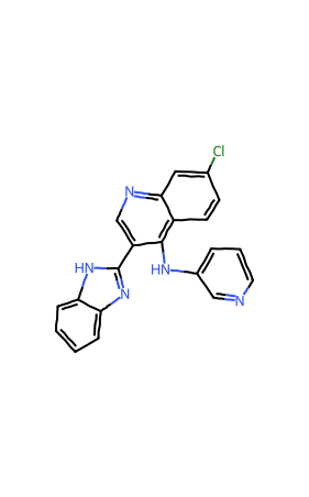 Clc1ccc2c(Nc3cccnc3)c(-c3nc4ccccc4[nH]3)cnc2c1